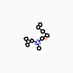 c1ccc(-c2nc(-c3ccc4c(c3)oc3cccc(-c5ccc(-c6cccc7ccccc67)cc5)c34)nc(-c3ccc4c5ccccc5c5ccccc5c4c3)n2)cc1